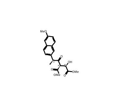 COC(=O)[C@@H](C(=O)[C@@H](C)c1ccc2cc(OC)ccc2c1)[C@@H](O)C(=O)OC